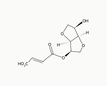 O=C(O)/C=C/C(=O)O[C@@H]1CO[C@H]2[C@@H]1OC[C@H]2O